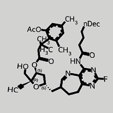 C#C[C@]1(CO)O[C@@H](CC2C=Nc3c(nc(F)nc3NC(=O)CCCCCCCCCCCCC)CC2)C[C@@H]1OC(=O)CC(C)(C)c1c(C)cc(C)cc1OC(C)=O